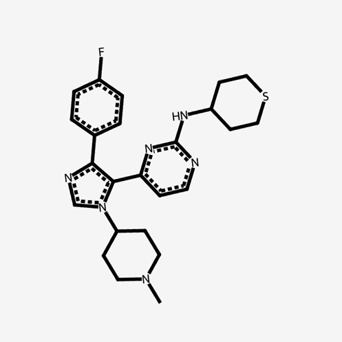 CN1CCC(n2cnc(-c3ccc(F)cc3)c2-c2ccnc(NC3CCSCC3)n2)CC1